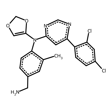 Cc1cc(CN)ccc1N(C1=COCO1)c1cc(-c2ccc(Cl)cc2Cl)ncn1